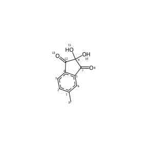 Cc1ccc2c(c1)C(=O)C(O)(O)C2=O